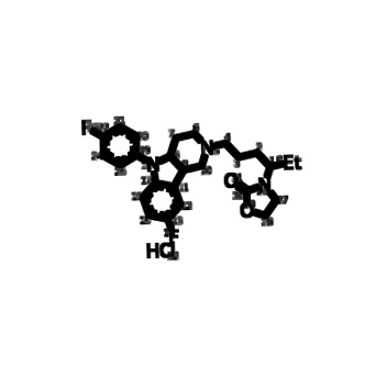 CCC(CCCN1CCC2C(C1)c1cc(F)ccc1N2c1ccc(F)cc1)N1CCOC1=O.Cl